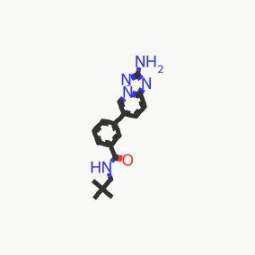 CC(C)(C)CNC(=O)c1cccc(-c2ccc3nc(N)nn3c2)c1